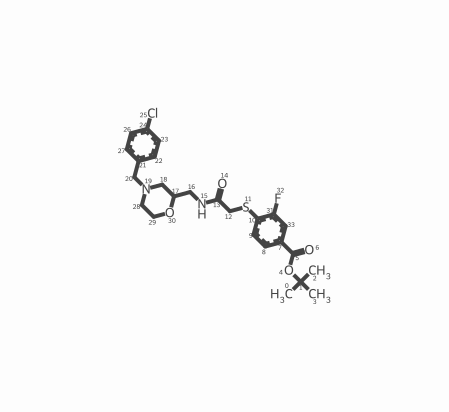 CC(C)(C)OC(=O)c1ccc(SCC(=O)NCC2CN(Cc3ccc(Cl)cc3)CCO2)c(F)c1